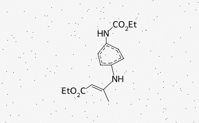 CCOC(=O)C=C(C)Nc1ccc(NC(=O)OCC)cc1